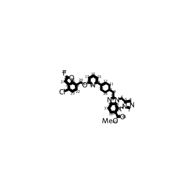 CCn1cncc1Cn1c(CC2CC=C(c3cccc(OCc4ccc(Cl)c5cc(F)oc45)n3)CC2)nc2ccc(C(=O)OC)cc21